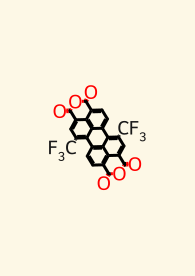 O=C1OC(=O)c2cc(C(F)(F)F)c3c4ccc5c6c(cc(C(F)(F)F)c(c7ccc1c2c73)c64)C(=O)OC5=O